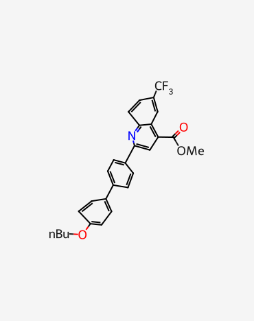 CCCCOc1ccc(-c2ccc(-c3cc(C(=O)OC)c4cc(C(F)(F)F)ccc4n3)cc2)cc1